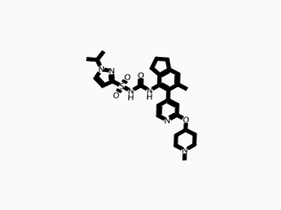 Cc1cc2c(c(NC(=O)NS(=O)(=O)c3ccn(C(C)C)n3)c1-c1ccnc(OC3CCN(C)CC3)c1)CCC2